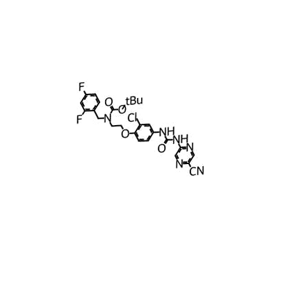 CC(C)(C)OC(=O)N(CCOc1ccc(NC(=O)Nc2cnc(C#N)cn2)cc1Cl)Cc1ccc(F)cc1F